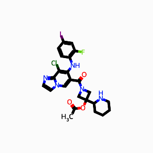 CC(=O)OC1(C2CCCCN2)CN(C(=O)c2cn3ccnc3c(Cl)c2Nc2ccc(I)cc2F)C1